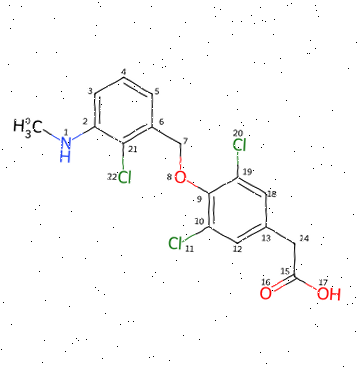 CNc1cccc(COc2c(Cl)cc(CC(=O)O)cc2Cl)c1Cl